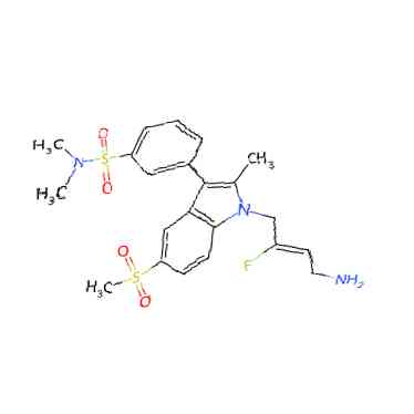 Cc1c(-c2cccc(S(=O)(=O)N(C)C)c2)c2cc(S(C)(=O)=O)ccc2n1C/C(F)=C/CN